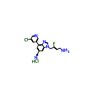 Cl.N#Cc1cc(-c2cncc(Cl)c2)c2ncn(C/C(F)=C/CN)c2c1